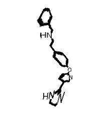 c1ccc(CNCCc2ccc(Oc3ccc(C4=NCCN4)cn3)cc2)cc1